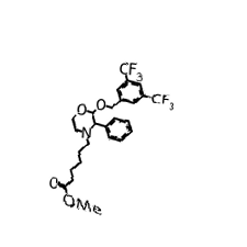 COC(=O)CCCCCN1CCOC(OCc2cc(C(F)(F)F)cc(C(F)(F)F)c2)C1c1ccccc1